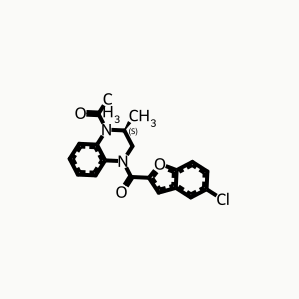 CC(=O)N1c2ccccc2N(C(=O)c2cc3cc(Cl)ccc3o2)C[C@@H]1C